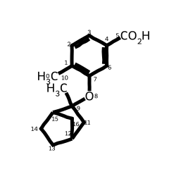 Cc1ccc(C(=O)O)cc1OC1(C)CC2CCC1C2